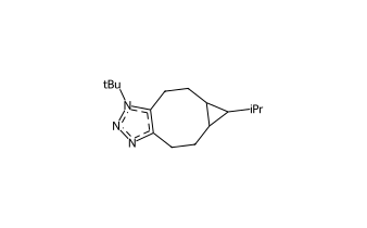 CC(C)C1C2CCc3nnn(C(C)(C)C)c3CCC21